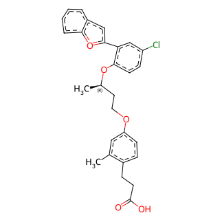 Cc1cc(OCC[C@@H](C)Oc2ccc(Cl)cc2-c2cc3ccccc3o2)ccc1CCC(=O)O